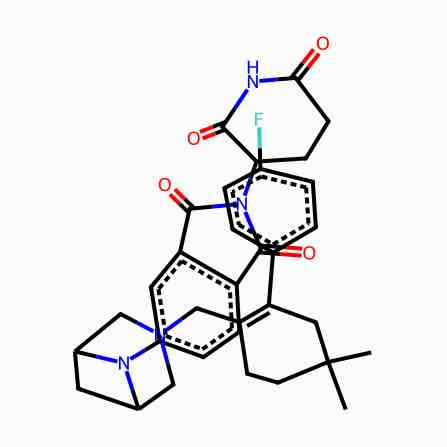 CC1(C)CCC(CN2CC3CC(C2)N3c2ccc3c(c2)C(=O)N(C2CCC(=O)NC2=O)C3=O)=C(c2ccc(F)cc2)C1